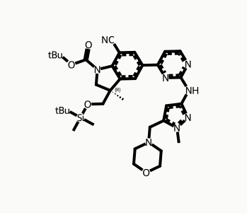 Cn1nc(Nc2nccc(-c3cc(C#N)c4c(c3)[C@@](C)(CO[Si](C)(C)C(C)(C)C)CN4C(=O)OC(C)(C)C)n2)cc1CN1CCOCC1